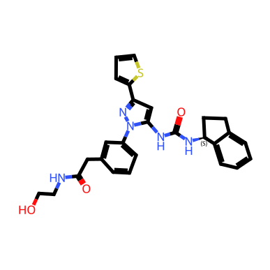 O=C(Cc1cccc(-n2nc(-c3cccs3)cc2NC(=O)N[C@H]2CCc3ccccc32)c1)NCCO